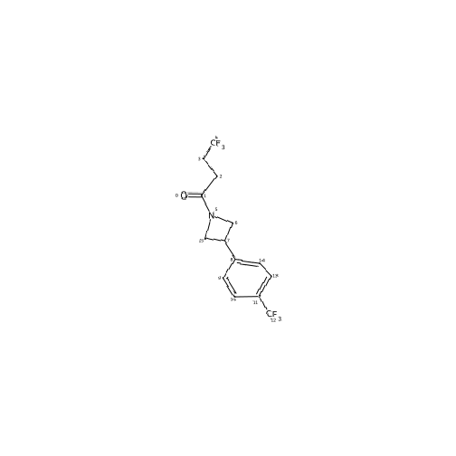 O=C(CCC(F)(F)F)N1CC(c2ccc(C(F)(F)F)cc2)C1